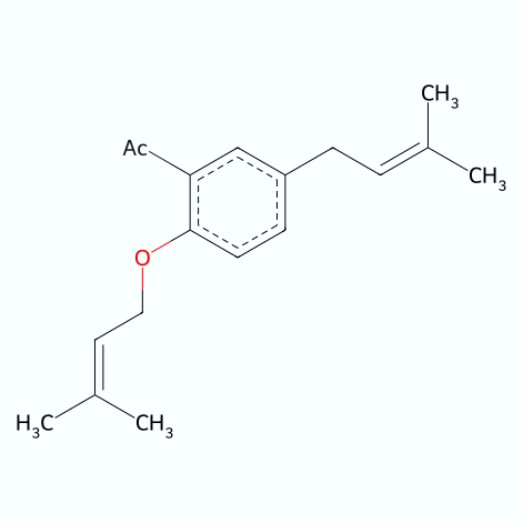 CC(=O)c1cc(CC=C(C)C)ccc1OCC=C(C)C